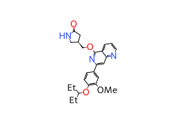 CCC(CC)Oc1ccc(-c2cc3ncccc3c(OC[C@H]3CNC(=O)C3)n2)cc1OC